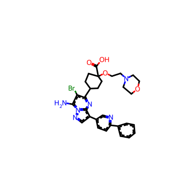 Nc1c(Br)c(C2CCC(OCCN3CCOCC3)(C(=O)O)CC2)nc2c(-c3ccc(-c4ccccc4)nc3)cnn12